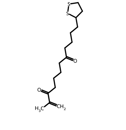 C=C(C)C(=O)CCCCC(=O)CCCCC1CCSS1